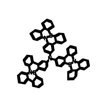 c1ccc2c(c1)B1c3ccc(N(c4ccc5c(c4)-c4ccccc4N4B5c5ccccc5-c5ccccc54)c4ccc5c(c4)-c4ccccc4B4c6ccccc6-c6ccccc6N45)cc3-c3ccccc3N1c1ccccc1-2